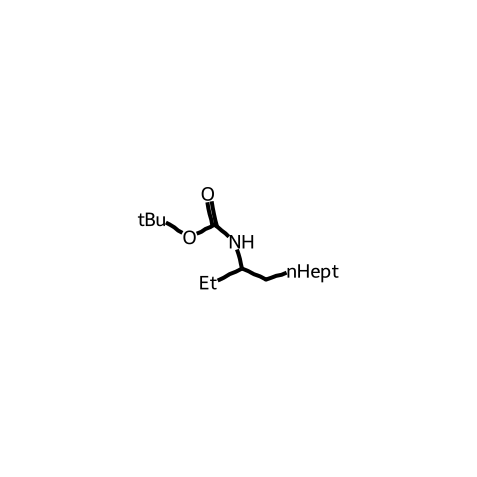 CCCCCCCCC(CC)NC(=O)OC(C)(C)C